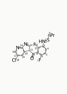 CCCSNc1ccc(F)c(C(=O)C2C=Nc3ncc(Cl)cc32)c1F